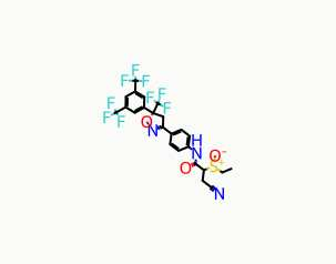 CC[S+]([O-])C(CC#N)C(=O)Nc1ccc(C2=NOC(c3cc(C(F)(F)F)cc(C(F)(F)F)c3)(C(F)(F)F)C2)cc1